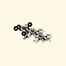 N=C(N)NC(NC(=O)C(NC(=N)N)NC(=O)C(NC(=N)N)NC(=O)C(NC(=N)N)NC(=O)C(NC(=O)C(O)N(Cc1c(O)ccc2ccccc12)c1ccc([N+](=O)[O-])c2nonc12)c1ccccc1)C(N)=O